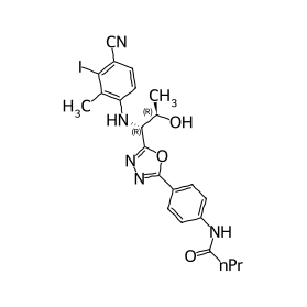 CCCC(=O)Nc1ccc(-c2nnc([C@H](Nc3ccc(C#N)c(I)c3C)[C@@H](C)O)o2)cc1